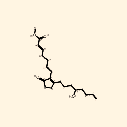 CCCCC(O)CCCC1=C(CCCCC=CC(=O)OC)C(=O)CC1